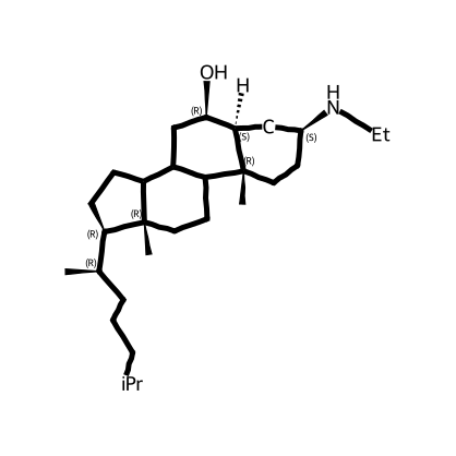 CCN[C@H]1CC[C@]2(C)C3CC[C@@]4(C)C(CC[C@@H]4[C@H](C)CCCC(C)C)C3C[C@@H](O)[C@H]2C1